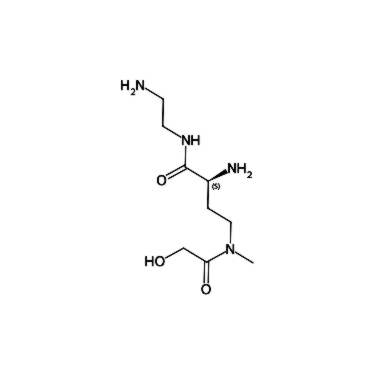 CN(CC[C@H](N)C(=O)NCCN)C(=O)CO